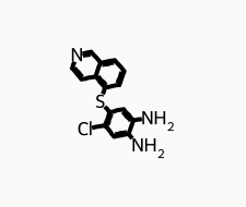 Nc1cc(Cl)c(Sc2cccc3cnccc23)cc1N